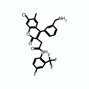 Cc1cc2c(-c3cccc(CN)c3)c(CC(=O)Nc3ccc(F)cc3C(F)(F)F)c(=O)oc2cc1Cl